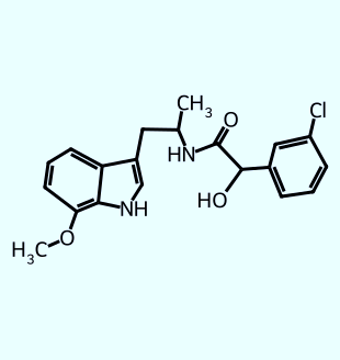 COc1cccc2c(CC(C)NC(=O)C(O)c3cccc(Cl)c3)c[nH]c12